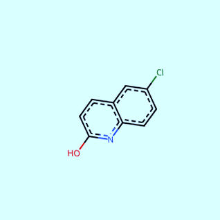 Oc1ccc2cc(Cl)ccc2n1